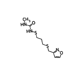 CNC(=O)NSCCCSCc1ccon1